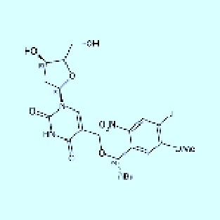 CCCC[C@H](OCc1cn([C@H]2C[C@@H](O)C(CO)O2)c(=O)[nH]c1=O)c1cc(OC)c(I)cc1[N+](=O)[O-]